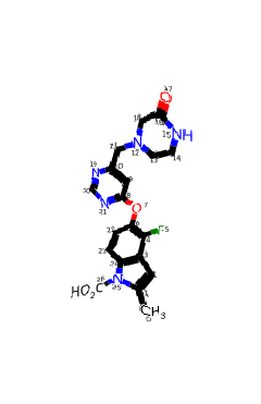 Cc1cc2c(F)c(Oc3cc(CN4CCNC(=O)C4)ncn3)ccc2n1C(=O)O